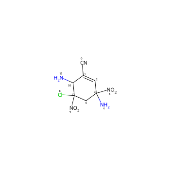 N#CC1=CC(N)([N+](=O)[O-])CC(Cl)([N+](=O)[O-])C1N